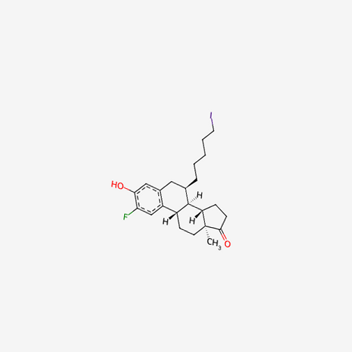 C[C@]12CC[C@@H]3c4cc(F)c(O)cc4C[C@@H](CCCCCI)[C@H]3[C@@H]1CCC2=O